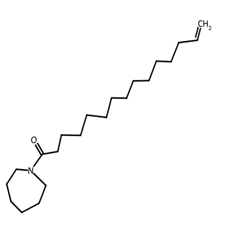 C=CCCCCCCCCCCCCC(=O)N1CCCCCC1